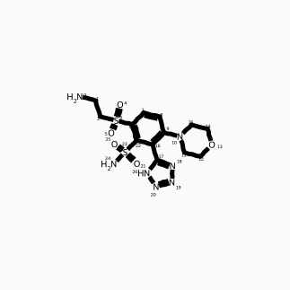 NCCS(=O)(=O)c1ccc(N2CCOCC2)c(-c2nnn[nH]2)c1S(N)(=O)=O